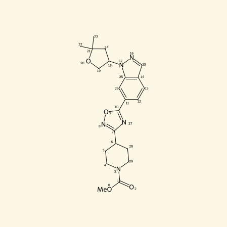 COC(=O)N1CCC(c2noc(-c3ccc4cnn(C5COC(C)(C)C5)c4c3)n2)CC1